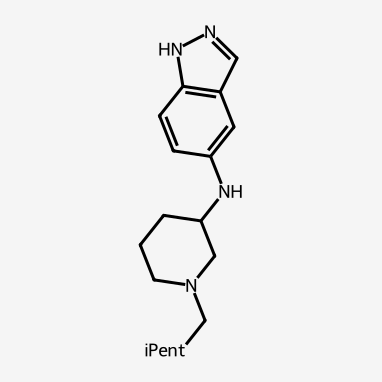 CCCC(C)CN1CCCC(Nc2ccc3[nH]ncc3c2)C1